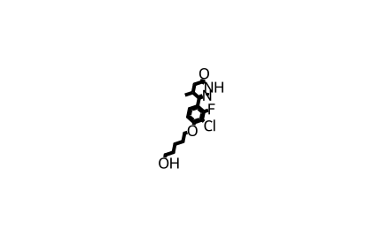 CC1CC(=O)NN=C1c1ccc(OCCCCCO)c(Cl)c1F